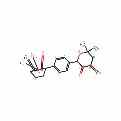 C=C1C(=O)C2(c3ccc(C45CCC(C(=C)C4=O)C(C)(C)O5)cc3)CCC1C(C)(C)O2